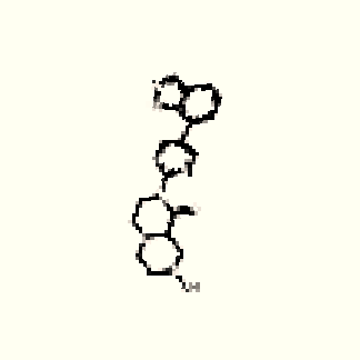 N#CN1CCN2CCN(c3ncc(-c4cccc5cn[nH]c45)cn3)C(=O)C2C1